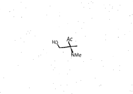 CN[C@@](C)(CO)C(C)=O